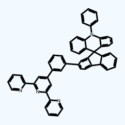 c1ccc(N2c3ccccc3C3(c4ccccc4-c4ccc(-c5cccc(-c6cc(-c7ccccn7)nc(-c7ccccn7)c6)c5)cc43)c3ccccc32)cc1